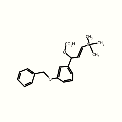 C[Si](C)(C)/C=C/C(OC(=O)O)c1cccc(OCc2ccccc2)c1